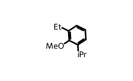 CCc1cccc(C(C)C)c1OC